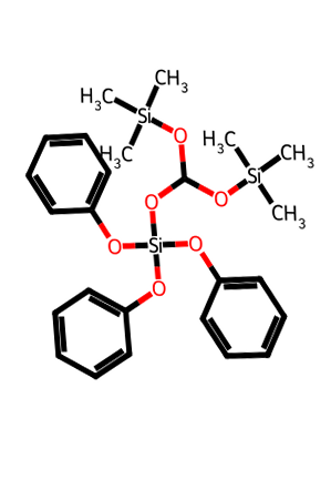 C[Si](C)(C)OC(O[Si](C)(C)C)O[Si](Oc1ccccc1)(Oc1ccccc1)Oc1ccccc1